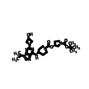 CC(C)n1cnc2c(NC3CCN(C(=O)O[C@H]4CCN(C(=O)OC(C)(C)C)C4)CC3)nc(N3CC(O)C3)nc21